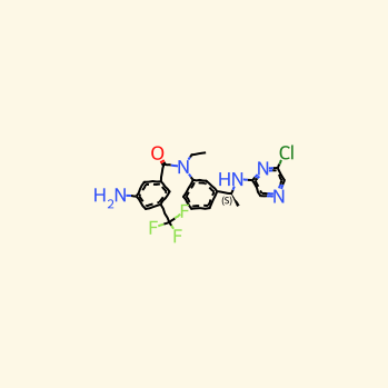 CCN(C(=O)c1cc(N)cc(C(F)(F)F)c1)c1cccc([C@H](C)Nc2cncc(Cl)n2)c1